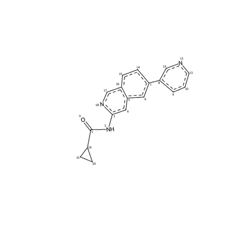 O=C(Nc1cc2cc(-c3cccnc3)ccc2cn1)C1CC1